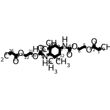 C=CC(=O)OCCOC(=O)NC1CC(C)(C)C(NC(=O)OCCOC(=O)C=C)C(C)(C)C1